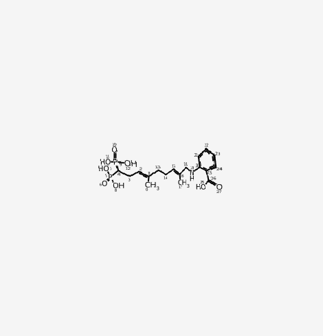 C/C(=C\CC(P(=O)(O)O)P(=O)(O)O)CC/C=C(\C)CNc1ccccc1C(=O)O